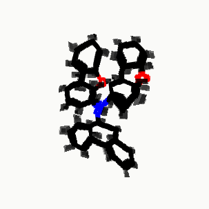 c1ccc2c(c1)cc(N(c1ccc3oc4ccccc4c3c1)c1cccc3c1oc1ccccc13)c1ccccc12